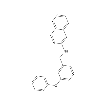 c1ccc(Oc2cccc(CNc3cc4ccccc4cn3)c2)cc1